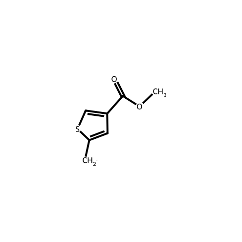 [CH2]c1cc(C(=O)OC)cs1